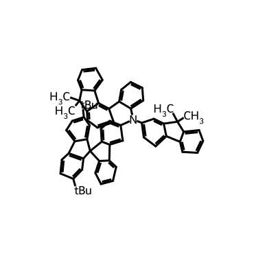 CC(C)(C)c1ccc2c(c1)C1(c3ccccc3-c3cc(N(c4ccc5c(c4)C(C)(C)c4ccccc4-5)c4ccccc4-c4cccc5c4-c4ccccc4C5(C)C)ccc31)c1cc(C(C)(C)C)ccc1-2